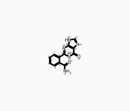 NC(=O)c1ccccc1-c1nc2[nH]cnc2c(=O)[nH]1